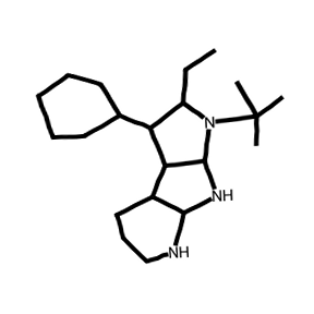 CCC1C(C2CCCCC2)C2C3CCCNC3NC2N1C(C)(C)C